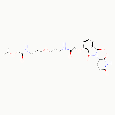 CC(C)OCC(=O)NCCCOCCCNC(=O)COc1cccc2c1C(=O)N(C1CCC(=O)NC1=O)C2=O